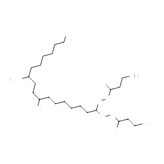 CCCCCCCC(C)CCC(C)CCCCCCC(OOC(F)CCC)OOC(F)CCC